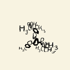 CS(=O)(=O)O.Cc1ccc(Oc2ccc(C(=O)CNC(C)(C)C)cc2Oc2ccc(C)cc2)cc1